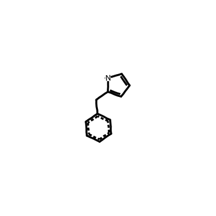 C1=C[N]C(Cc2ccccc2)=C1